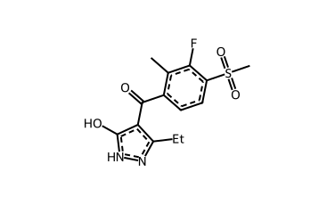 CCc1n[nH]c(O)c1C(=O)c1ccc(S(C)(=O)=O)c(F)c1C